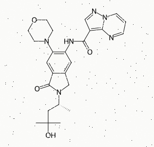 C[C@H](CC(C)(C)O)N1Cc2cc(NC(=O)c3cnn4cccnc34)c(N3CCOCC3)cc2C1=O